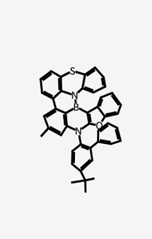 Cc1cc2c3c(c1)N(c1ccc(C(C)(C)C)cc1-c1ccccc1)c1oc4ccccc4c1B3N1c3ccccc3Sc3cccc-2c31